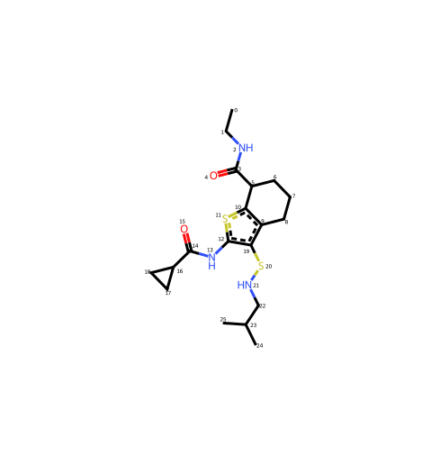 CCNC(=O)C1CCCc2c1sc(NC(=O)C1CC1)c2SNCC(C)C